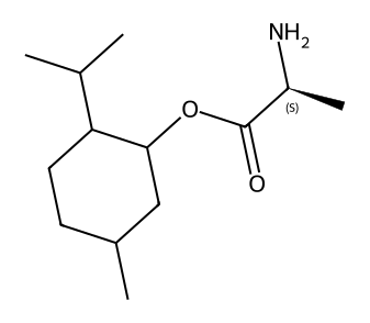 CC1CCC(C(C)C)C(OC(=O)[C@H](C)N)C1